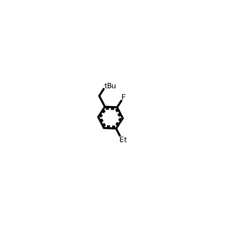 CCc1ccc(CC(C)(C)C)c(F)c1